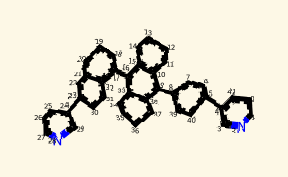 c1cncc(-c2ccc(-c3c4ccccc4c(-c4cccc5cc(-c6cccnc6)ccc45)c4ccccc34)cc2)c1